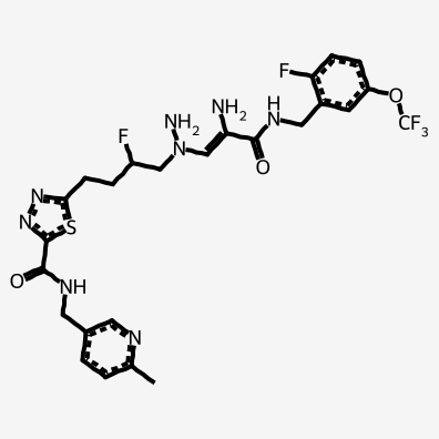 Cc1ccc(CNC(=O)c2nnc(CCC(F)CN(N)/C=C(\N)C(=O)NCc3cc(OC(F)(F)F)ccc3F)s2)cn1